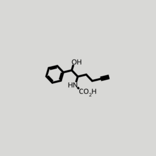 C#CCCC(NC(=O)O)C(O)c1ccccc1